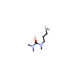 CN(C)C(=O)N(C)CCCC(C)(C)C